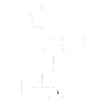 CC(C)n1cc(-n2nc(N3C[C@@H](C)[C@@](C#N)(C4CC4)C3=O)c3ccncc32)cn1